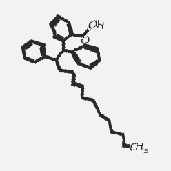 CCCCCCCCCCCCC(c1ccccc1)C(c1ccccc1)c1ccccc1C(=O)O